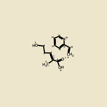 C/C(=C\CCO)C(=O)O.C=Cc1ccccn1